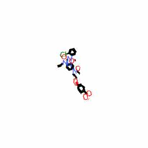 C=CCN(C(=O)Nc1ccccc1Cl)c1ccc(N(CCOc2ccc(C(=O)OC)cc2)C(C)=O)cc1OC